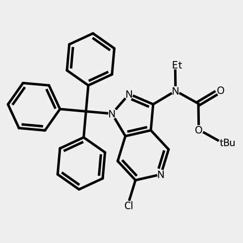 CCN(C(=O)OC(C)(C)C)c1nn(C(c2ccccc2)(c2ccccc2)c2ccccc2)c2cc(Cl)ncc12